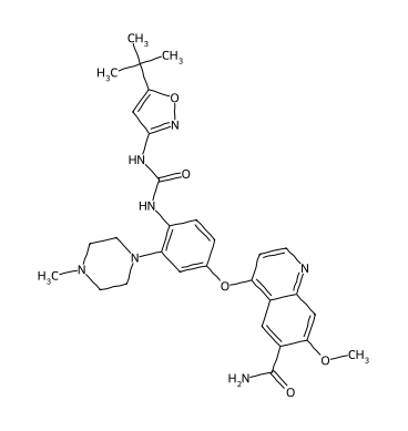 COc1cc2nccc(Oc3ccc(NC(=O)Nc4cc(C(C)(C)C)on4)c(N4CCN(C)CC4)c3)c2cc1C(N)=O